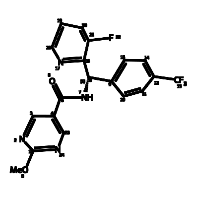 COc1ncc(C(=O)N[C@@H](c2ccc(C(F)(F)F)cc2)c2ncccc2F)cn1